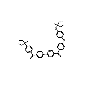 CCC(C)(CC)Oc1ccc(Oc2ccc(C(=O)c3ccc(-c4ccc(C(=O)c5ccc(C(C)(CC)CC)cc5)cc4)cc3)cc2)cc1